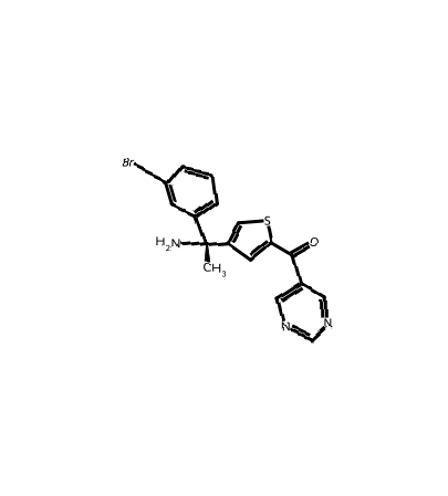 C[C@@](N)(c1cccc(Br)c1)c1csc(C(=O)c2cncnc2)c1